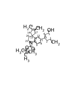 C=CCC(=CCO)c1ccc2c(c1)C(CC=C)(CC=C)CCN2C(=O)OC(C)(C)C